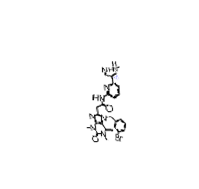 C=C1c2c(nc(CC(=O)Nc3cccc(/C(C=N)=C/NC)n3)n2Cc2cccc(Br)c2)N(C)C(=O)N1C